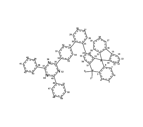 CC1(C)c2ccccc2C2(c3ccccc3-c3ccccc32)c2cc(-c3ccccc3-c3ccc(-c4nc(-c5ccccc5)nc(-c5ccccc5)n4)cc3)ccc21